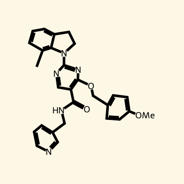 COc1ccc(COc2nc(N3CCc4cccc(C)c43)ncc2C(=O)NCc2cccnc2)cc1